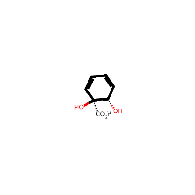 O=C(O)[C@]1(O)C=CC=C[C@@H]1O